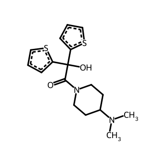 CN(C)C1CCN(C(=O)C(O)(c2cccs2)c2cccs2)CC1